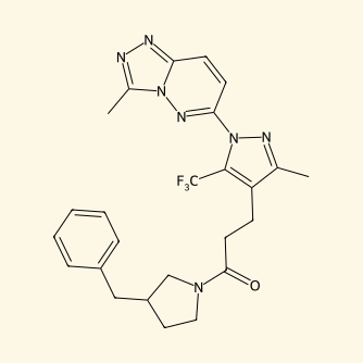 Cc1nn(-c2ccc3nnc(C)n3n2)c(C(F)(F)F)c1CCC(=O)N1CCC(Cc2ccccc2)C1